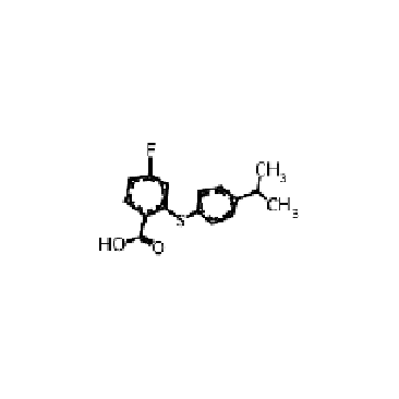 CC(C)c1ccc(Sc2cc(F)ccc2C(=O)O)cc1